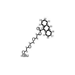 CC(C)(C)OCCOCCOCCOC(=O)c1c2ccccc2cc2ccccc12